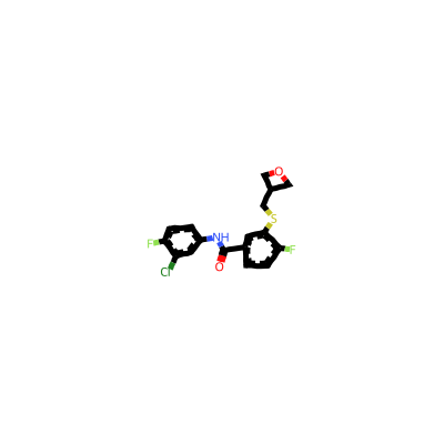 O=C(Nc1ccc(F)c(Cl)c1)c1ccc(F)c(SCC2COC2)c1